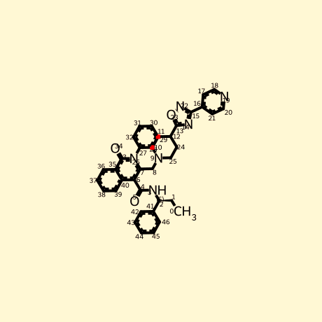 CC[C@H](NC(=O)c1c(CN2CCC(c3nc(-c4ccncc4)no3)CC2)n(-c2ccccc2)c(=O)c2ccccc12)c1ccccc1